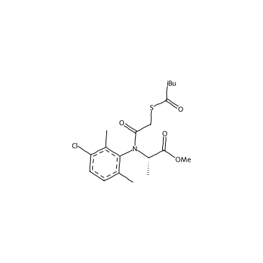 CCC(C)C(=O)SCC(=O)N(c1c(C)ccc(Cl)c1C)[C@@H](C)C(=O)OC